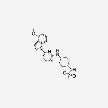 COc1cccc2c1cnn2-c1ccnc(NC2CCC(NS(C)(=O)=O)CC2)n1